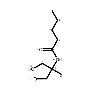 CCCCC(=O)NC(C)(CO)CO